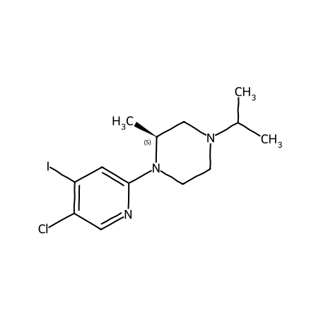 CC(C)N1CCN(c2cc(I)c(Cl)cn2)[C@@H](C)C1